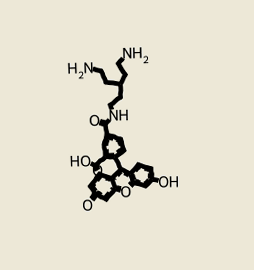 NCCC(CCN)CCNC(=O)c1ccc(-c2c3ccc(=O)cc-3oc3cc(O)ccc23)c(C(=O)O)c1